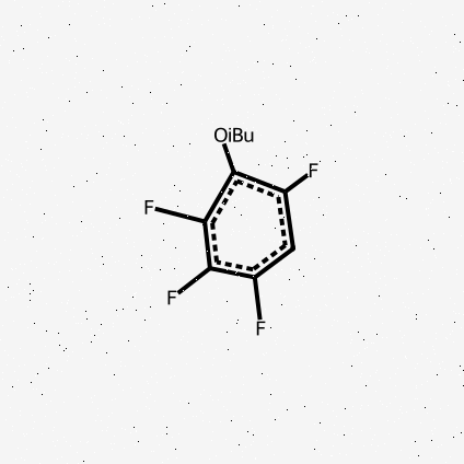 CC(C)COc1c(F)cc(F)c(F)c1F